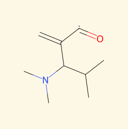 C=C([C]=O)C(C(C)C)N(C)C